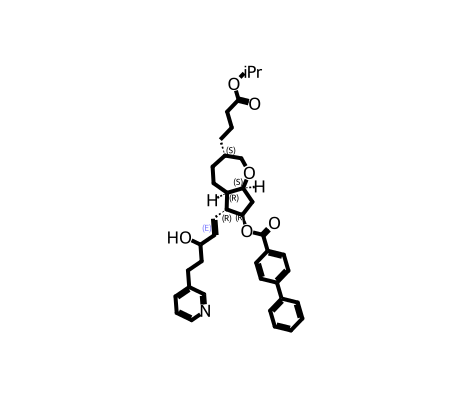 CC(C)OC(=O)CCC[C@H]1CC[C@@H]2[C@@H](/C=C/C(O)CCc3cccnc3)[C@H](OC(=O)c3ccc(-c4ccccc4)cc3)C[C@@H]2OC1